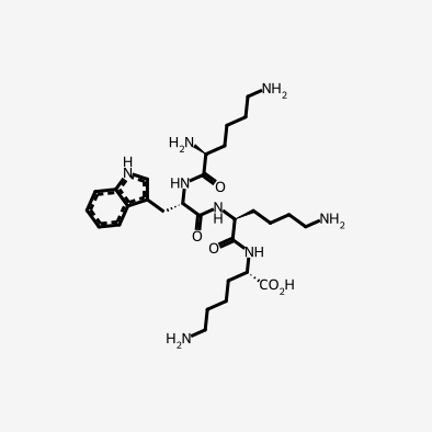 NCCCC[C@H](NC(=O)[C@H](CCCCN)NC(=O)[C@H](Cc1c[nH]c2ccccc12)NC(=O)[C@@H](N)CCCCN)C(=O)O